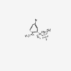 COc1ccc(Br)cc1C(C)(C)CC(O)(CO)C(F)(F)F